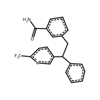 NC(=O)c1cccc(CC(c2ccccc2)c2ccc(C(F)(F)F)nc2)c1